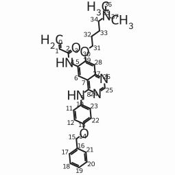 C=CC(=O)Nc1cc2c(Nc3ccc(OCc4ccccc4)cc3)ncnc2cc1OCCCCN(C)C